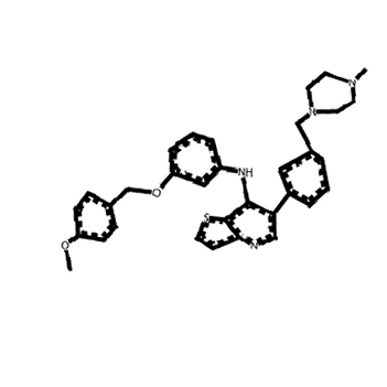 COc1ccc(COc2cccc(Nc3c(-c4cccc(CN5CCN(C)CC5)c4)cnc4ccsc34)c2)cc1